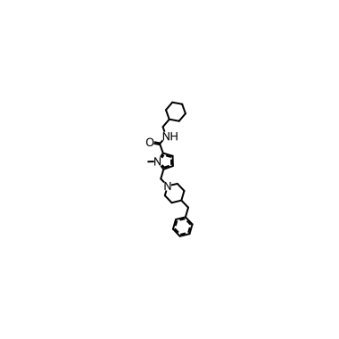 Cn1c(CN2CCC(Cc3ccccc3)CC2)ccc1C(=O)NCC1CCCCC1